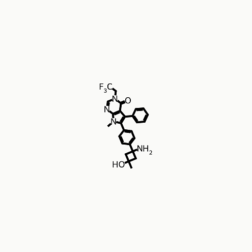 Cn1c(-c2ccc(C3(N)CC(C)(O)C3)cc2)c(-c2ccccc2)c2c(=O)n(CC(F)(F)F)cnc21